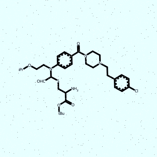 CC(C)OCCN(c1ccc(C(=O)N2CCN(CCc3ccc(Cl)cc3)CC2)cc1)C(C=O)SCC(N)C(=O)OC(C)(C)C